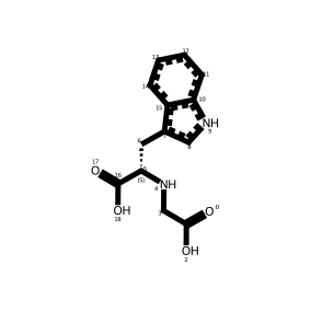 O=C(O)CN[C@@H](Cc1c[nH]c2ccccc12)C(=O)O